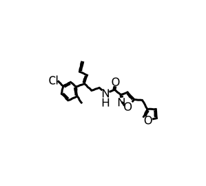 C=C/C=C(/CCNC(=O)c1cc(Cc2ccoc2)on1)c1cc(Cl)ccc1C